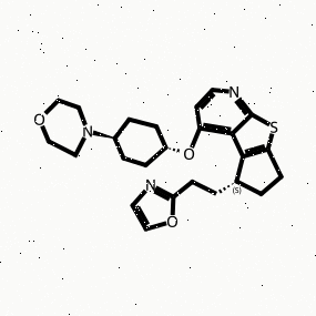 c1coc(CC[C@H]2CCc3sc4nccc(O[C@H]5CC[C@H](N6CCOCC6)CC5)c4c32)n1